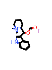 C[N+]1(C)CCCCC1C(OC=O)c1c[nH]c2ccccc12.[I-]